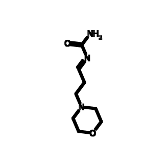 NC(=O)N=CCCN1CCOCC1